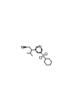 CC(C)C(CC#N)c1cncc(S(=O)(=O)C2CCCCC2)c1